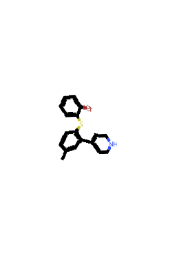 Cc1ccc(Sc2ccccc2Br)c(C2=CCNCC2)c1